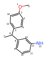 COc1ccc(C(C)c2cccc([NH])c2)cc1